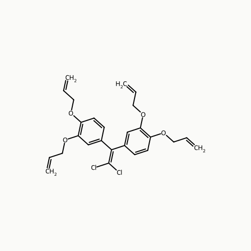 C=CCOc1ccc(C(=C(Cl)Cl)c2ccc(OCC=C)c(OCC=C)c2)cc1OCC=C